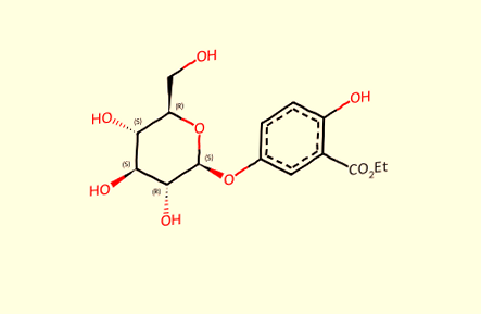 CCOC(=O)c1cc(O[C@@H]2O[C@H](CO)[C@@H](O)[C@H](O)[C@H]2O)ccc1O